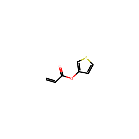 C=CC(=O)Oc1ccsc1